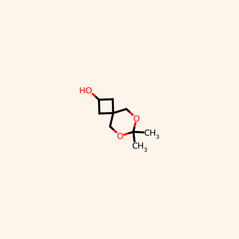 CC1(C)OCC2(CO1)CC(O)C2